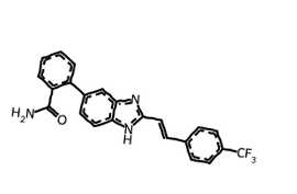 NC(=O)c1ccccc1-c1ccc2[nH]c(/C=C/c3ccc(C(F)(F)F)cc3)nc2c1